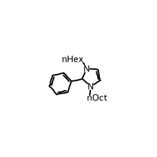 CCCCCCCCN1C=CN(CCCCCC)C1c1ccccc1